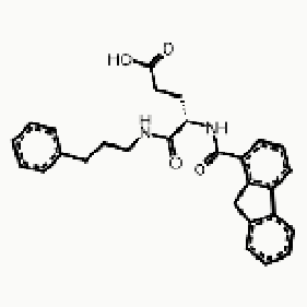 O=C(O)CC[C@H](NC(=O)c1cccc2c1Cc1ccccc1-2)C(=O)NCCCc1ccccc1